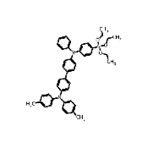 CCO[Si](OCC)(OCC)c1ccc(N(c2ccccc2)c2ccc(-c3ccc(N(c4ccc(C)cc4)c4ccc(C)cc4)cc3)cc2)cc1